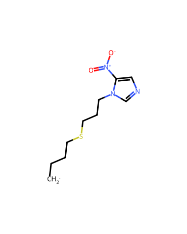 [CH2]CCCSCCCn1cncc1[N+](=O)[O-]